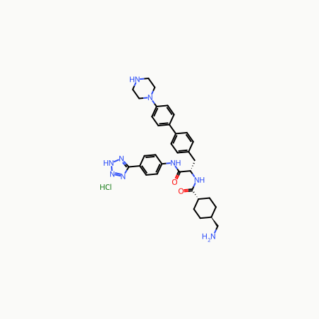 Cl.NC[C@H]1CC[C@H](C(=O)N[C@@H](Cc2ccc(-c3ccc(N4CCNCC4)cc3)cc2)C(=O)Nc2ccc(-c3nn[nH]n3)cc2)CC1